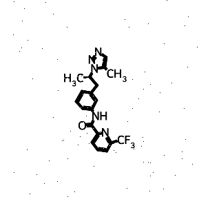 Cc1cnnn1[C@H](C)Cc1cccc(NC(=O)c2cccc(C(F)(F)F)n2)c1